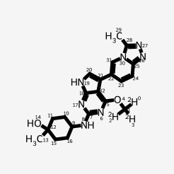 [2H]C([2H])([2H])Oc1nc(NC2CCC(C)(O)CC2)nc2[nH]cc(-c3ccc4nnc(C)n4c3)c12